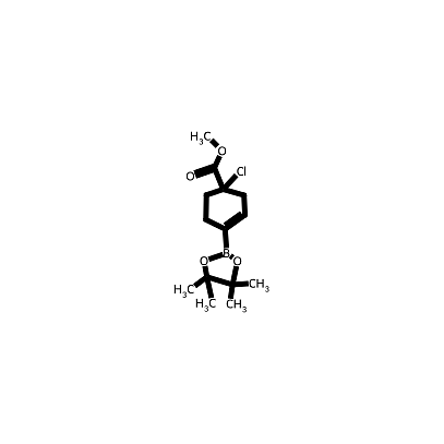 COC(=O)C1(Cl)CC=C(B2OC(C)(C)C(C)(C)O2)CC1